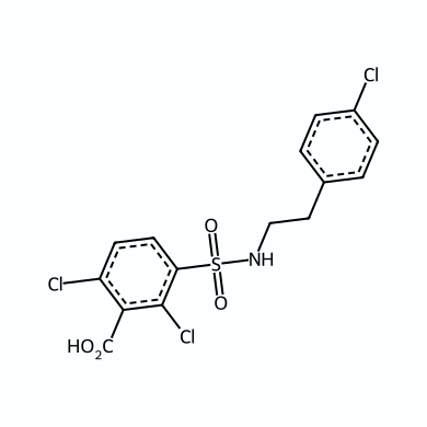 O=C(O)c1c(Cl)ccc(S(=O)(=O)NCCc2ccc(Cl)cc2)c1Cl